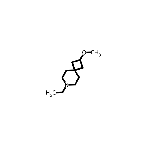 CCN1CCC2(CC1)CC(OC)C2